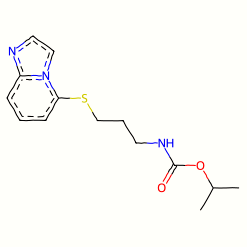 CC(C)OC(=O)NCCCSc1cccc2nccn12